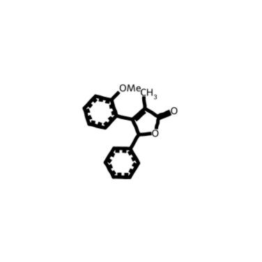 COc1ccccc1C1=C(C)C(=O)OC1c1ccccc1